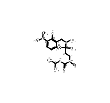 CCCN(C)c1cccc(CN(C)C(C)(C)CCN(CC)C(=O)OC(C(F)(F)F)C(F)(F)F)c1Cl